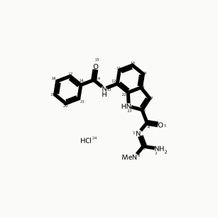 CNC(N)=NC(=O)c1cc2cccc(NC(=O)c3ccccc3)c2[nH]1.Cl